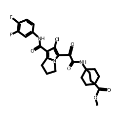 COC(=O)C12CCC(NC(=O)C(=O)c3c(Cl)c(C(=O)Nc4ccc(F)c(F)c4)c4n3CCC4)(CC1)CC2